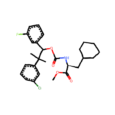 COC(=O)[C@H](CC1CCCCC1)NC(=O)OC(c1cccc(F)c1)C(C)(C)c1cccc(Cl)c1